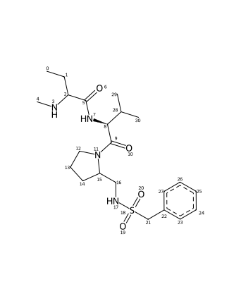 CCC(NC)C(=O)N[C@H](C(=O)N1CCCC1CNS(=O)(=O)Cc1ccccc1)C(C)C